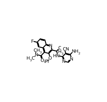 CC(C)Oc1c(C(C)Nc2ncnc(N)c2C#N)nc2ccc(F)cc2c1C(=O)N(C)C